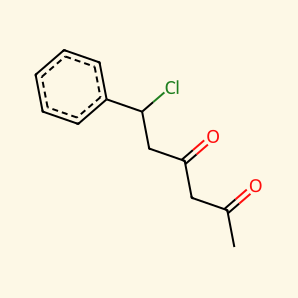 CC(=O)CC(=O)CC(Cl)c1ccccc1